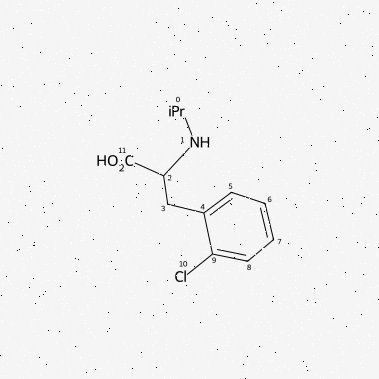 CC(C)NC(Cc1ccccc1Cl)C(=O)O